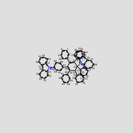 c1ccc(C2=C(c3ccccc3)C(c3ccccc3)(n3c4ccccc4c4ccccc43)C(c3ccccc3)C(c3ccccc3)=C2c2ccc(-n3c4ccccc4c4ccccc43)cc2)cc1